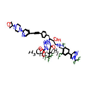 COC(=O)N[C@H](C(=O)N[C@@H](Cc1ccc(C#Cc2ccc(N3CCN(C4COC4)CC3)nc2)cc1)[C@@H](O)CNCc1c(F)cc(-c2cnn(C(F)F)c2)cc1F)C(C)(C)C(F)(F)F